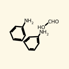 Nc1ccccc1.Nc1ccccc1.O=CO